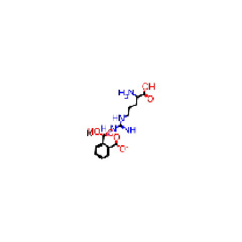 N=C(N)NCCCC(N)C(=O)O.O=C([O-])c1ccccc1C(=O)O.[K+]